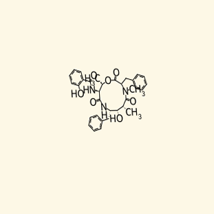 C[C@H]1OC(=O)C(Cc2ccccc2)N(C)C(=O)[C@H](C)[C@H](O)[C@H](Cc2ccccc2)NC(=O)[C@H]1NC(=O)c1ccccc1O